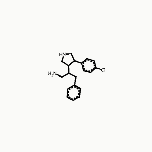 NCC(Cc1ccccc1)C1CNCC1c1ccc(Cl)cc1